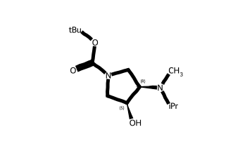 CC(C)N(C)[C@@H]1CN(C(=O)OC(C)(C)C)C[C@@H]1O